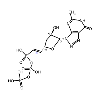 Cc1nc2c(nnn2[C@@H]2O[C@H](/C=C/P(=O)(O)OP(=O)(O)OP(=O)(O)O)C[C@H]2O)c(=O)[nH]1